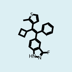 Cc1sccc1/C(=C(\c1[c]cccc1)c1ccc2[nH]nc(F)c2c1)C1CCC1